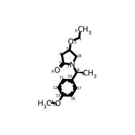 CCOC1CC(=O)N([C@@H](C)c2ccc(OC)cc2)C1